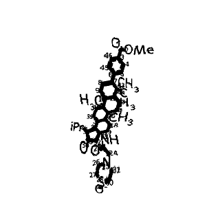 COC(=O)c1ccc(C2=CCC3(C)C(CCC4(C)C5CCC6(NC(=O)CN7CC[S+]([O-])CC7)CC(=O)C(C(C)C)=C6C5CCC43)C2(C)C)cc1